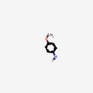 COc1ccc(N=S)cc1